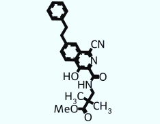 COC(=O)C(C)(C)CNC(=O)c1nc(C#N)c2cc(CCc3ccccc3)ccc2c1O